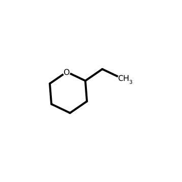 CCC1CCCCO1